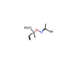 C=C[Si](C)(OC)ON=C(C)C(C)C